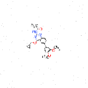 COc1ccc(-c2ccc3nc(NC(C)=O)nc(OCC4CC4)c3c2)cc1OC